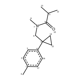 Cc1ccc(C2(CN(C)C(=O)C(C)C)CC2)cc1